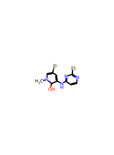 CCc1nccc(NC2=CC(Br)=CN(C)C2O)n1